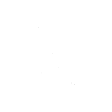 CCOC(=O)C(C)=NNc1ccc(Br)cc1